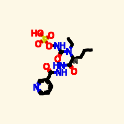 CCC[C@@H](C(=O)NNC(=O)c1cccnc1)N(CC)C(=O)NOS(=O)(=O)O